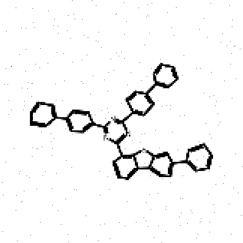 c1ccc(-c2ccc(-c3nc(-c4ccc(-c5ccccc5)cc4)nc(-c4cccc5c4sc4cc(-c6ccccc6)ccc45)n3)cc2)cc1